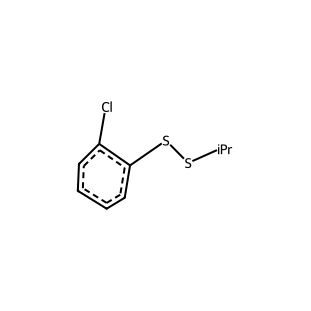 CC(C)SSc1ccccc1Cl